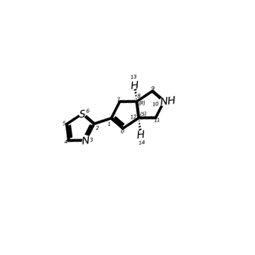 C1=C(c2nccs2)C[C@H]2CNC[C@@H]12